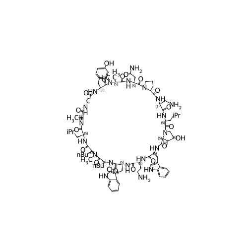 CCCC[C@H]1C(=O)N(C)[C@@H](CCCC)C(=O)N[C@@H](CC(C)C)C(=O)N[C@H](C)C(=O)NCC(=O)N[C@@H](Cc2ccc(O)cc2)C(=O)N(C)[C@@H](C)C(=O)N[C@@H](CC(N)=O)C(=O)N2CCCC2C(=O)N[C@@H](CN)C(=O)N[C@@H](CC(C)C)C(=O)N2C[C@H](O)C[C@H]2C(=O)N[C@@H](Cc2c[nH]c3ccccc23)C(=O)N[C@@H](CCN)C(=O)N[C@@H](Cc2c[nH]c3ccccc23)C(=O)N1C